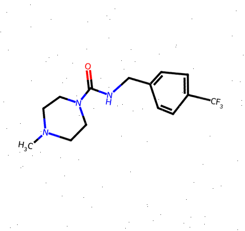 CN1CCN(C(=O)NCc2ccc(C(F)(F)F)cc2)CC1